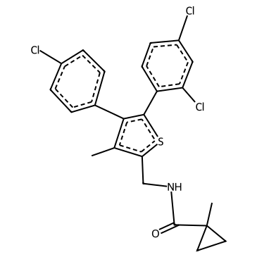 Cc1c(CNC(=O)C2(C)CC2)sc(-c2ccc(Cl)cc2Cl)c1-c1ccc(Cl)cc1